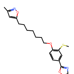 CSc1cc(C2=NCCO2)ccc1OCCCCCCCc1cc(C)no1